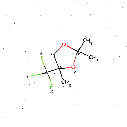 CC1(C)OCC(C)(C(F)(F)F)O1